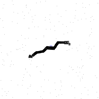 CC(=O)CC/C=C/CC(Cl)(Cl)Cl